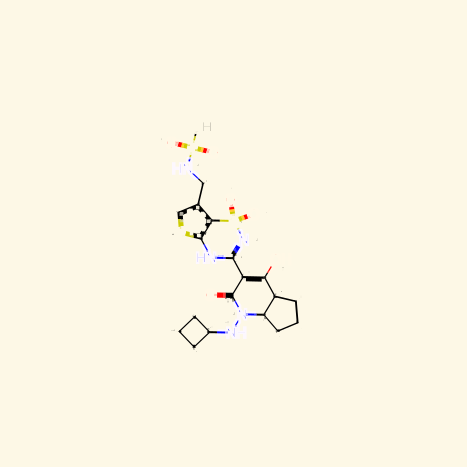 CS(=O)(=O)NCc1csc2c1S(=O)(=O)N=C(C1=C(O)C3CCCC3N(NC3CCC3)C1=O)N2